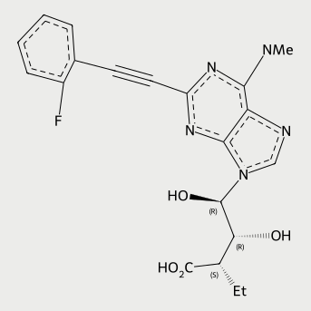 CC[C@H](C(=O)O)[C@@H](O)[C@@H](O)n1cnc2c(NC)nc(C#Cc3ccccc3F)nc21